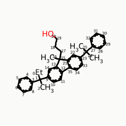 CCC(C)(c1ccccc1)c1ccc2c(c1)C(C)(CCCO)c1cc(C(C)(C)c3ccccc3)ccc1-2